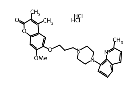 COc1cc2oc(=O)c(C)c(C)c2cc1OCCCN1CCN(c2cccc3ccc(C)nc23)CC1.Cl.Cl